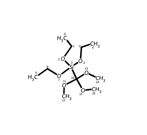 CCO[Si](OCC)(OCC)C(OC)(OC)OC